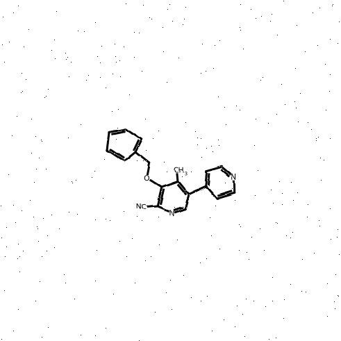 Cc1c(-c2ccncc2)cnc(C#N)c1OCc1ccccc1